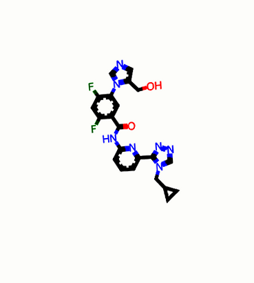 O=C(Nc1cccc(-c2nncn2CC2CC2)n1)c1cc(-n2cncc2CO)c(F)cc1F